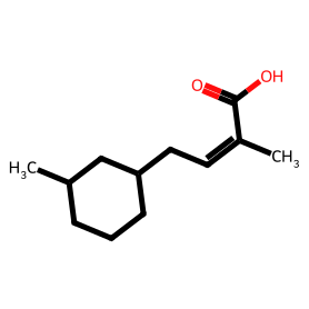 CC(=CCC1CCCC(C)C1)C(=O)O